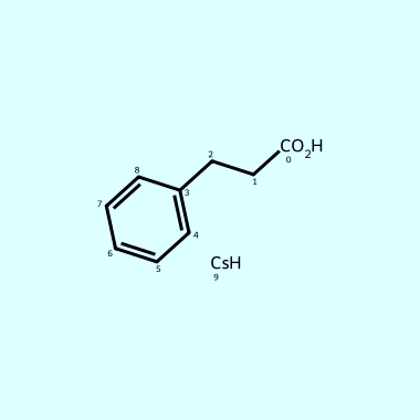 O=C(O)CCc1ccccc1.[CsH]